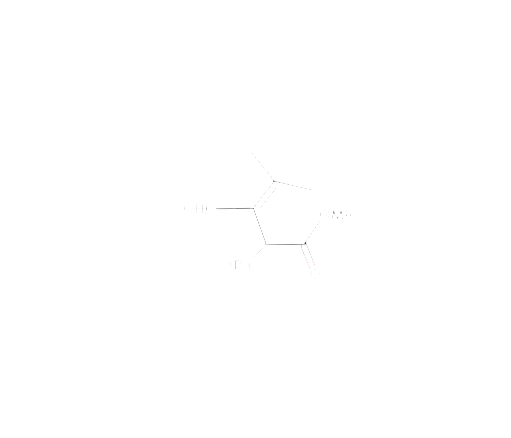 COC(=O)C(C(C=O)=C(C)C)C(C)(C)C